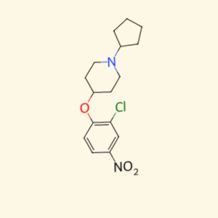 O=[N+]([O-])c1ccc(OC2CCN(C3CCCC3)CC2)c(Cl)c1